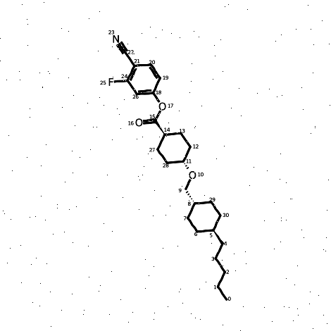 CCCCC[C@H]1CC[C@H](CO[C@H]2CC[C@H](C(=O)Oc3ccc(C#N)c(F)c3)CC2)CC1